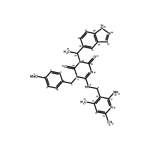 COc1ccc(Cn2c(NCc3c(C)cc(C)nc3N)nc(=O)n(C(C)c3ccc4[nH]nnc4c3)c2=O)cc1